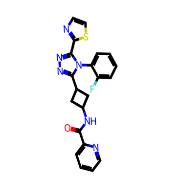 O=C(NC1CC(c2nnc(-c3nccs3)n2-c2ccccc2F)C1)c1ccccn1